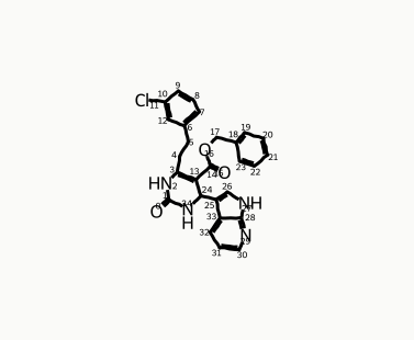 O=C1NC(CCc2cccc(Cl)c2)=C(C(=O)OCc2ccccc2)C(c2c[nH]c3ncccc23)N1